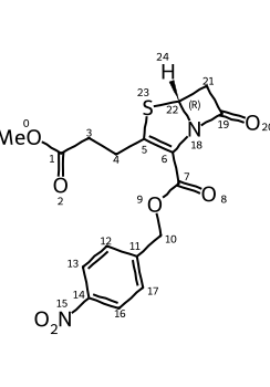 COC(=O)CCC1=C(C(=O)OCc2ccc([N+](=O)[O-])cc2)N2C(=O)C[C@H]2S1